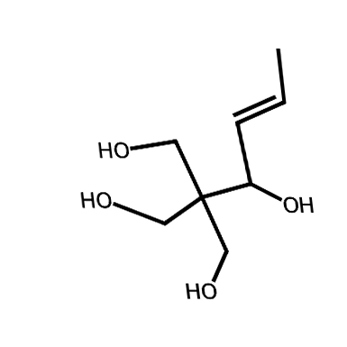 CC=CC(O)C(CO)(CO)CO